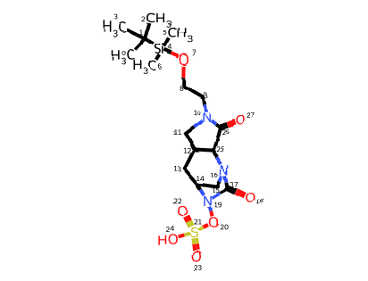 CC(C)(C)[Si](C)(C)OCCN1CC2CC3CN(C(=O)N3OS(=O)(=O)O)C2C1=O